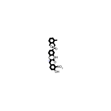 Cc1cccc(C)c1CS(=O)(=O)c1ccc2c(c1)NC(=O)/C(=C\c1ccc(O)c([N+](=O)[O-])c1)S2